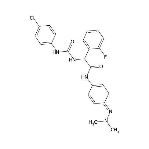 CN(C)N=C1C=CC(NC(=O)C(NC(=O)Nc2ccc(Cl)cc2)c2ccccc2F)=CC1